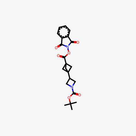 CC(C)(C)OC(=O)N1CC(C23CC(C(=O)ON4C(=O)c5ccccc5C4=O)(C2)C3)C1